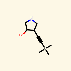 C[Si](C)(C)C#CC1CNCC1O